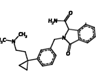 CN(C)CCC1(c2cccc(CN3C(=O)c4ccc[c]c4C3C(N)=O)c2)CC1